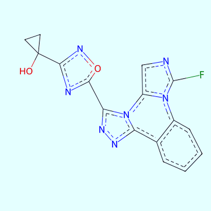 OC1(c2noc(-c3nnc4c5ccccc5n5c(F)ncc5n34)n2)CC1